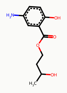 CC(O)CCOC(=O)c1cc(N)ccc1O